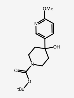 COc1ccc(C2(O)CCN(C(=O)OC(C)(C)C)CC2)cn1